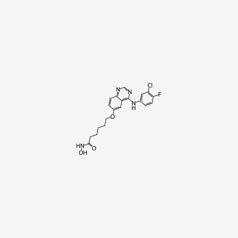 O=C(CCCCCOc1ccc2ncnc(Nc3ccc(F)c(Cl)c3)c2c1)NO